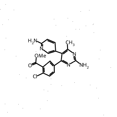 COC(=O)c1cc(-c2nc(N)nc(C)c2-c2ccc(N)nc2)ccc1Cl